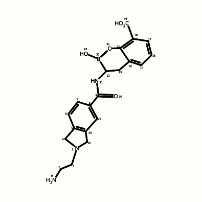 NCCN1Cc2ccc(C(=O)NC3Cc4cccc(C(=O)O)c4OB3O)cc2C1